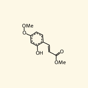 COOc1ccc(C=CC(=O)OC)c(O)c1